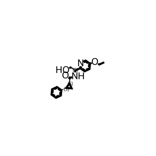 CCOc1ccc([C@H](CO)NC(=O)[C@H]2C[C@@H]2c2ccccc2)nc1